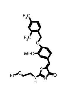 CCOCCNC1=NC(=O)C(=Cc2ccc(OCc3ccc(C(F)(F)F)cc3C(F)(F)F)c(OC)c2)S1